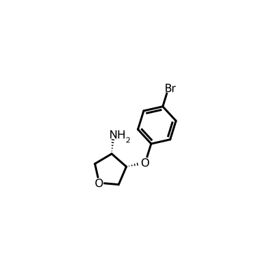 N[C@H]1COC[C@H]1Oc1ccc(Br)cc1